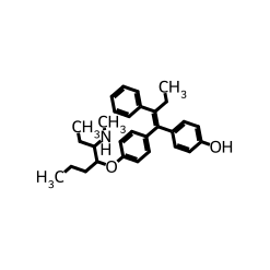 CCCC(Oc1ccc(C(=C(CC)c2ccccc2)c2ccc(O)cc2)cc1)C(CC)NC